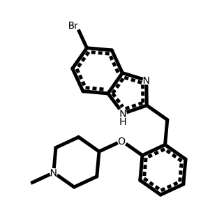 CN1CCC(Oc2ccccc2Cc2nc3cc(Br)ccc3[nH]2)CC1